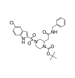 CC(C)(C)OC(=O)N1CCN(S(=O)(=O)c2cc3cc(Cl)ccc3[nH]2)CC1CC(=O)NCc1ccccc1